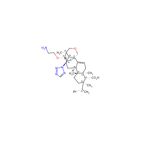 CC(C)[C@@H](C)[C@@]1(C)CC[C@]2(C)[C@H]3CC[C@@H]4[C@@]5(COC[C@]4(C)[C@@H](OCCN)[C@H](n4ncnn4)C5)C3=CC[C@@]2(C)[C@@H]1C(=O)O